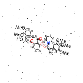 CC[C@H](C(=O)N1CCCC[C@H]1C(=O)O[C@H](CCc1ccc(OC)c(OC)c1)c1ccccc1OCC(=O)O)c1cc(OC)c(OC)c(OC)c1